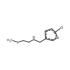 CSCCNCc1ccc(Cl)nc1